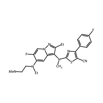 CCc1nn2cc(F)c(N(CC)CCNC)cc2c1N(C)c1nc(-c2ccc(F)cc2)c(C#N)s1